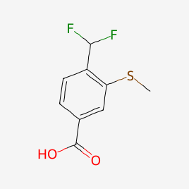 CSc1cc(C(=O)O)ccc1C(F)F